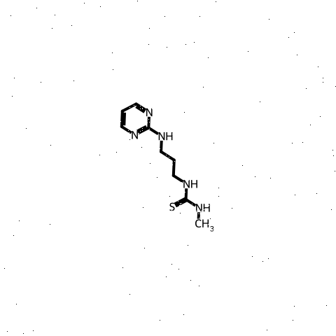 CNC(=S)NCCCNc1ncccn1